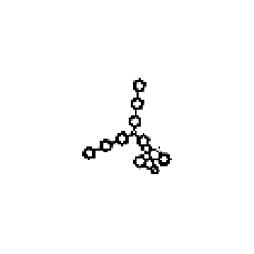 c1ccc(-c2ccc(-c3ccc(N(c4ccc(-c5ccc(-c6ccccc6)cc5)cc4)c4ccc5c6c(oc5c4)C4(c5ccccc5O6)c5ccccc5-c5ccccc54)cc3)cc2)cc1